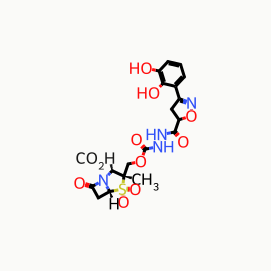 C[C@]1(COC(=O)NNC(=O)C2CC(c3cccc(O)c3O)=NO2)[C@H](C(=O)O)N2C(=O)C[C@H]2S1(=O)=O